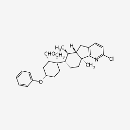 C[C@@H]1[C@@H]([C@@]2(C)CC[C@H](Oc3ccccc3)C[C@@H]2C=O)CC[C@]2(C)c3nc(Cl)ccc3C[C@@H]12